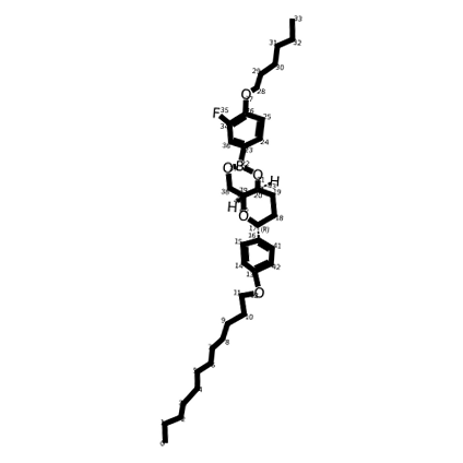 CCCCCCCCCCCCOc1ccc([C@H]2CC[C@@H]3OB(c4ccc(OCCCCCC)c(F)c4)OC[C@H]3O2)cc1